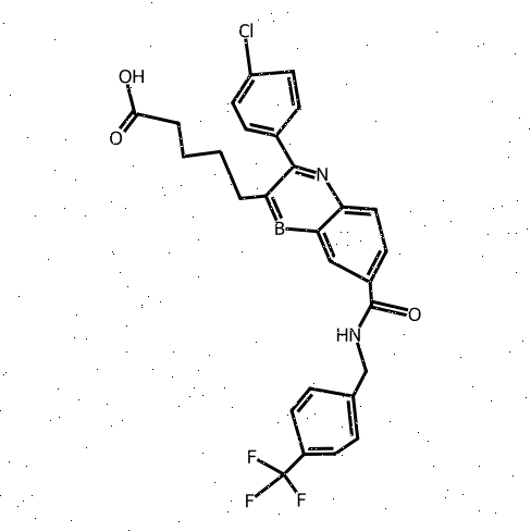 O=C(O)CCCCc1bc2cc(C(=O)NCc3ccc(C(F)(F)F)cc3)ccc2nc1-c1ccc(Cl)cc1